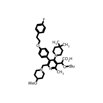 COC1CCN(Cc2nc(C)c(C(OC(C)(C)C)C(=O)O)c(N3CCC(C)(C)CC3)c2-c2ccc(OCCc3ccc(F)cc3)cc2)CC1